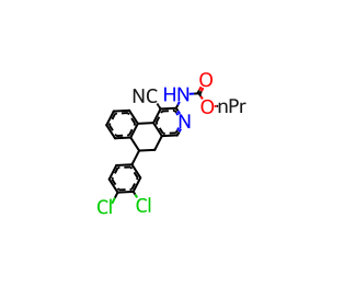 CCCOC(=O)Nc1ncc2c(c1C#N)-c1ccccc1C(c1ccc(Cl)c(Cl)c1)C2